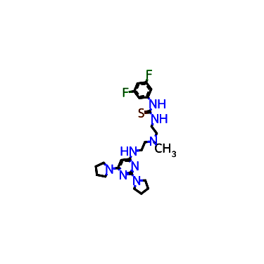 CN(CCNC(=S)Nc1cc(F)cc(F)c1)CCNc1cc(N2CCCC2)nc(N2CCCC2)n1